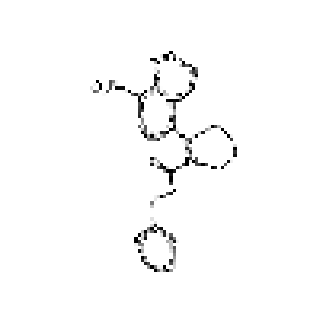 O=C(CCc1ccccc1)N1CCCCN1c1ccc([N+](=O)[O-])c2ccccc12